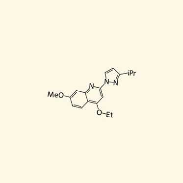 CCOc1cc(-n2ccc(C(C)C)n2)nc2cc(OC)ccc12